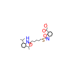 COCC(=O)c1cccc2nc(SCCCCCC(=O)Nc3c(C(C)C)cccc3C(C)C)oc12